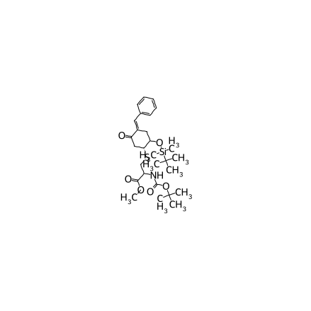 COC(=O)C(CS[C@@H]1CC(=O)/C(=C/c2ccccc2)CC1O[Si](C)(C)C(C)(C)C)NC(=O)OC(C)(C)C